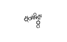 Cc1cccnc1OCC(C)(C)C(=O)N[C@H]1CN(C)C[C@@H]1c1ccc(Cl)cc1